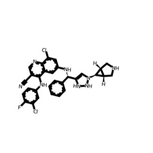 N#Cc1cnc2c(Cl)cc(N[C@H](C3=CN([C@H]4[C@@H]5CNC[C@@H]54)NN3)c3ccccc3)cc2c1Nc1ccc(F)c(Cl)c1